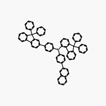 c1ccc(C2(c3ccccc3)c3ccccc3-c3ccc(-c4ccc(N(c5ccc(-c6ccc7ccccc7c6)cc5)c5cccc6c5-c5ccccc5C6(c5ccccc5)c5ccccc5)cc4)cc32)cc1